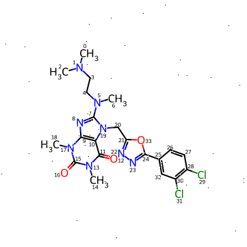 CN(C)CCN(C)c1nc2c(c(=O)n(C)c(=O)n2C)n1Cc1nnc(-c2ccc(Cl)c(Cl)c2)o1